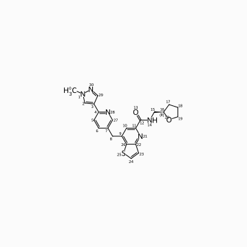 Cn1cc(-c2ccc(Cc3cc(C(=O)NC[C@H]4CCCO4)nc4ccsc34)cn2)cn1